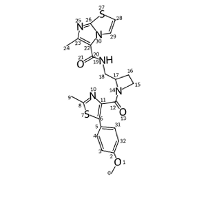 COc1ccc(-c2sc(C)nc2C(=O)N2CCC2CNC(=O)c2c(C)nc3sccn23)cc1